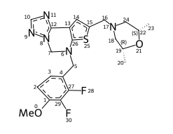 COc1ccc(CN2Cn3ncnc3-c3cc(CN4C[C@@H](C)O[C@@H](C)C4)sc32)c(F)c1F